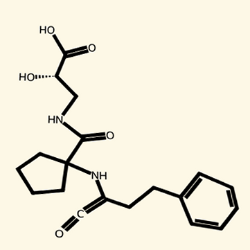 O=C=C(CCc1ccccc1)NC1(C(=O)NC[C@H](O)C(=O)O)CCCC1